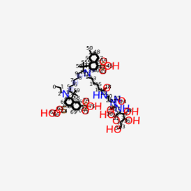 CCCN1/C(=C/C=C/C=C/C2=[N+](CCCCCC(=O)NCCN(N=O)C(=O)NC3C(O)OC(CO)C(O)C3O)c3cc(S(=O)(=O)O)c4ccc(C)cc4c3C2(C)C)C(C)(C)c2c1cc(SOOO)c1ccc(S(=O)(=O)O)cc21